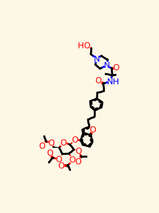 CC(=O)OC[C@H]1O[C@@H](Oc2cccc3oc(CCc4ccc(CCC(=O)NC(C)(C)C(=O)N5CCN(CCO)CC5)cc4)cc23)[C@H](OC(C)=O)[C@@H](OC(C)=O)[C@@H]1OC(C)=O